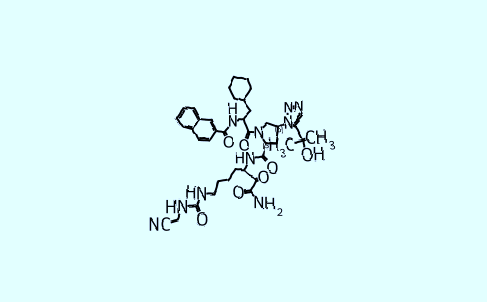 CC(C)(O)c1cnnn1[C@H]1C[C@@H](C(=O)NC(CCCCNC(=O)NCC#N)C(=O)C(N)=O)N(C(=O)C(CC2CCCCC2)NC(=O)c2ccc3ccccc3c2)C1